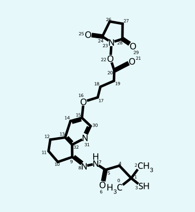 CC(C)(S)CC(=O)N/N=C1/CCCc2cc(OCCCC(=O)ON3C(=O)CCC3=O)cnc21